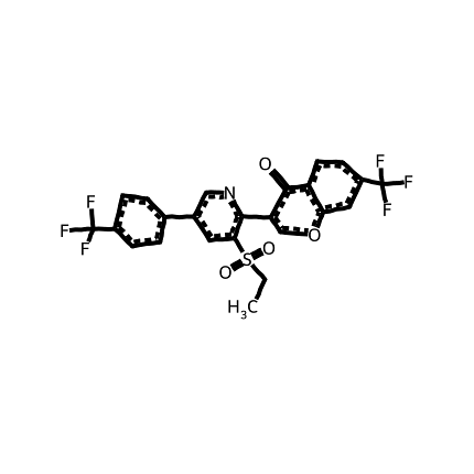 CCS(=O)(=O)c1cc(-c2ccc(C(F)(F)F)cc2)cnc1-c1coc2cc(C(F)(F)F)ccc2c1=O